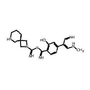 CN/C=C(\C=N)c1ccc(C(=N)SC(=N)N2CC3(CCCNC3)C2)c(O)c1